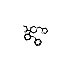 CCC(=O)C1(c2ccccc2Oc2ccccc2)CCN(CC2CCCO2)CC1